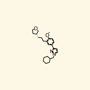 COc1ccc(-c2ccn(CC3CCCCC3)n2)cc1CCC[C@@H]1CCOC1